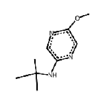 COc1cnc(NC(C)(C)C)cn1